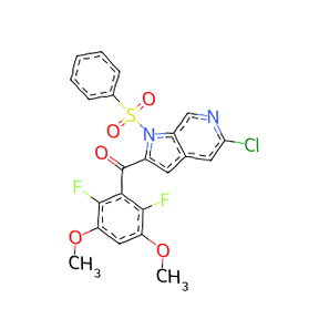 COc1cc(OC)c(F)c(C(=O)c2cc3cc(Cl)ncc3n2S(=O)(=O)c2ccccc2)c1F